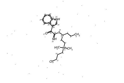 CCCN(CC[N+](C)(C)CCCCl)SC(=N)C(=O)c1c[nH]c2ccccc12